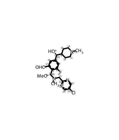 CO[C@H](c1c(F)cc([C@@H](O)C2CCN(C)CC2)cc1C=O)N(C)Cc1ncc(Cl)cn1